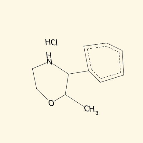 CC1OCCNC1c1ccccc1.Cl